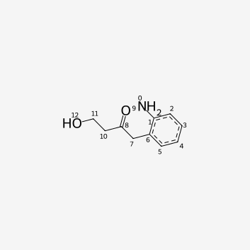 Nc1ccccc1CC(=O)CCO